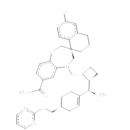 COC(=O)c1ccc2c(c1)N(C[C@@H]1CC[C@H]1[C@@H](OC)C1=CC[C@@H](CSc3ncccn3)CC1)C[C@@]1(CCCc3cc(Cl)ccc31)CO2